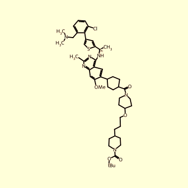 COc1cc2nc(C)nc(N[C@H](C)c3cc(-c4c(Cl)cccc4CN(C)C)cs3)c2cc1C1CCC(C(=O)N2CCC(OCCCC3CCN(C(=O)OC(C)(C)C)CC3)CC2)CC1